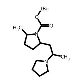 CC(CC1CCC(C)N1C(=O)OC(C)(C)C)N1CCCC1